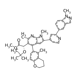 COC(=O)[C@@H](OC(C)(C)C)c1c(C)nc2c(cc(-c3ccnc(-c4ccc5c(cnn5C)c4)c3)n2C)c1-c1ccc2c(c1C)CCCO2